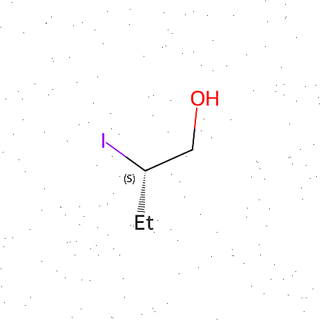 CC[C@H](I)CO